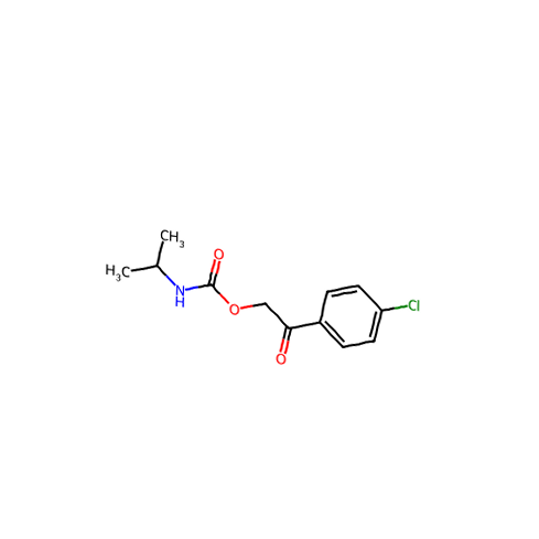 CC(C)NC(=O)OCC(=O)c1ccc(Cl)cc1